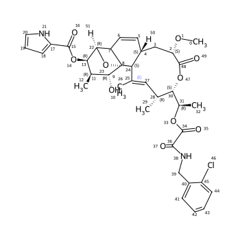 CO[C@H]1C[C@H]2C=CC3C4[C@H](O)[C@@H](C)[C@@H](OC(=O)c5ccc[nH]5)[C@@H]3O[C@]42/C(C)=C/[C@@H](C)[C@@H]([C@@H](C)OC(=O)C(=O)NCc2ccccc2Cl)OC1=O